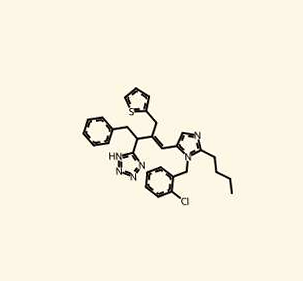 CCCCc1ncc(/C=C(\Cc2cccs2)C(Cc2ccccc2)c2nnn[nH]2)n1Cc1ccccc1Cl